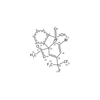 CS(=O)(=O)c1ccccc1C1(S(C)(=O)=O)[CH]C(Br)=CC(C(F)(C(F)(F)F)C(F)(F)F)=C1